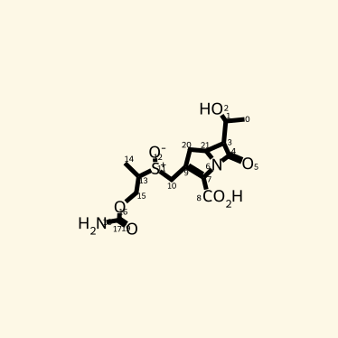 CC(O)C1C(=O)N2C(C(=O)O)=C(C[S+]([O-])C(C)COC(N)=O)CC12